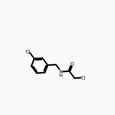 O=C(CCl)NCc1cccc(Cl)c1